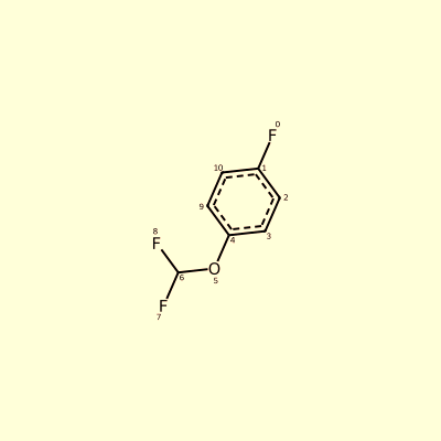 Fc1ccc(OC(F)F)cc1